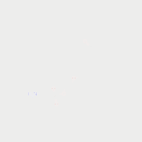 NCCS(=O)(=O)OCCOCc1ccc(C(=O)c2ccccc2)cc1